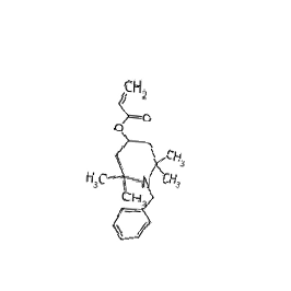 C=CC(=O)OC1CC(C)(C)N(Cc2ccccc2)C(C)(C)C1